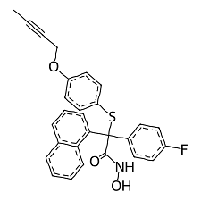 CC#CCOc1ccc(SC(C(=O)NO)(c2ccc(F)cc2)c2cccc3ccccc23)cc1